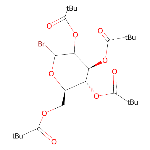 CC(C)(C)C(=O)OC[C@H]1OC(Br)C(OC(=O)C(C)(C)C)[C@@H](OC(=O)C(C)(C)C)[C@@H]1OC(=O)C(C)(C)C